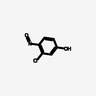 O=Nc1ccc(O)cc1Cl